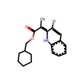 N#CC(C(=O)OCC1CCCCC1)=C1Nc2ccccc2C=C1Br